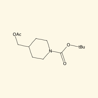 CC(=O)OCC1CCN(C(=O)OC(C)(C)C)CC1